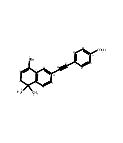 CC(C)(C)C1=CCC(C)(C)c2ccc(C#Cc3ccc(C(=O)O)cc3)cc21